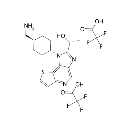 C[C@@H](O)c1nc2cnc3ccsc3c2n1[C@H]1CC[C@H](CN)CC1.O=C(O)C(F)(F)F.O=C(O)C(F)(F)F